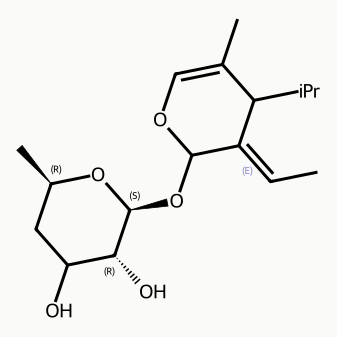 C/C=C1/C(O[C@@H]2O[C@H](C)CC(O)[C@H]2O)OC=C(C)C1C(C)C